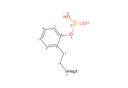 CCCCCCCCCc1ccccc1O[PH](=O)O